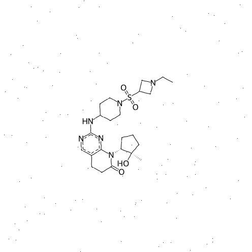 CCN1CC(S(=O)(=O)N2CCC(Nc3ncc4c(n3)N([C@@H]3CCC[C@@]3(C)O)C(=O)CC4)CC2)C1